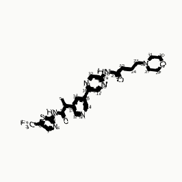 CC(C(=O)Nc1ncc(C(F)(F)F)s1)c1cncc(-c2cnc(NC(=O)/C=C/CN3CCOCC3)cn2)c1